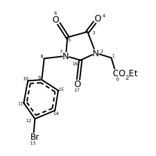 CCOC(=O)CN1C(=O)C(=O)N(Cc2ccc(Br)cc2)C1=O